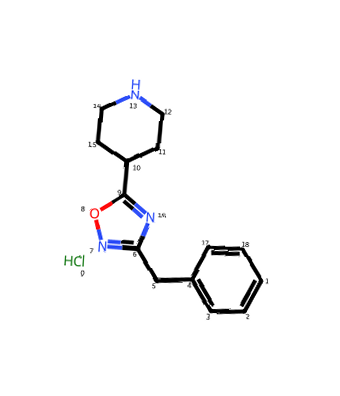 Cl.c1ccc(Cc2noc(C3CCNCC3)n2)cc1